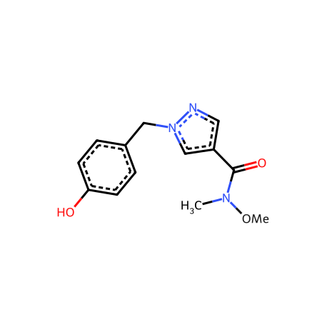 CON(C)C(=O)c1cnn(Cc2ccc(O)cc2)c1